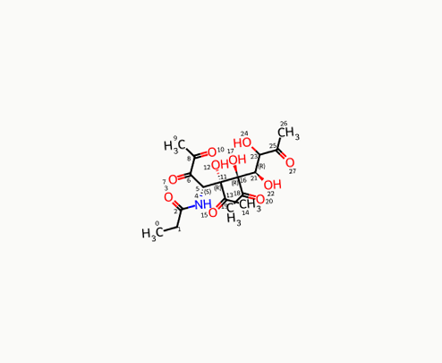 CCC(=O)N[C@H](C(=O)C(C)=O)[C@](O)(C(C)=O)[C@@](O)(C(C)=O)[C@H](O)C(O)C(C)=O